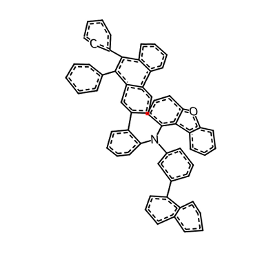 c1ccc(-c2c(-c3ccccc3)c3cc(-c4ccccc4N(c4cccc(-c5cccc6ccccc56)c4)c4cccc5oc6ccccc6c45)ccc3c3ccccc23)cc1